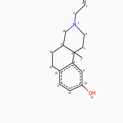 C=CCN1CCC2(C)c3cc(O)ccc3CCC2C1